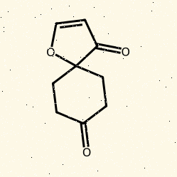 O=C1CCC2(CC1)OC=CC2=O